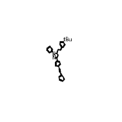 CC(C)(C)c1ccc(C=CC2CC(c3ccc(C#Cc4ccccc4)cc3)=NN2c2ccccc2)cc1